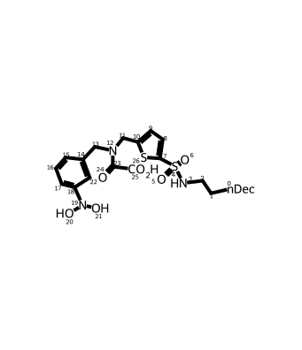 CCCCCCCCCCCCNS(=O)(=O)c1ccc(CN(Cc2cccc(N(O)O)c2)C(=O)C(=O)O)s1